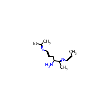 C/C=C\N=C(/C)C(N)C/C=C/N=C(\C)CC